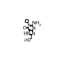 Nc1nc2nc(CO)[nH]c2c(=O)n1C1CCC1